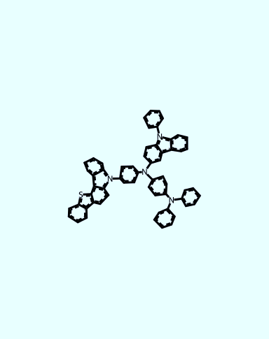 c1ccc(N(c2ccccc2)c2ccc(N(c3ccc(-n4c5ccccc5c5c6sc7ccccc7c6ccc54)cc3)c3ccc4c(c3)c3ccccc3n4-c3ccccc3)cc2)cc1